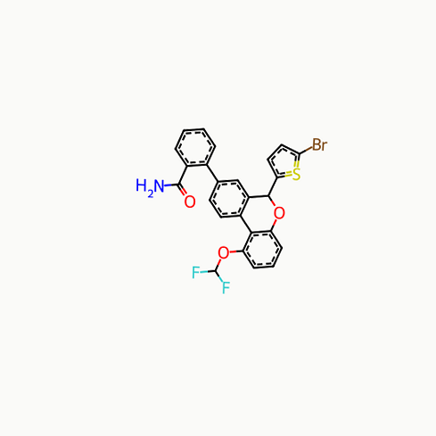 NC(=O)c1ccccc1-c1ccc2c(c1)C(c1ccc(Br)s1)Oc1cccc(OC(F)F)c1-2